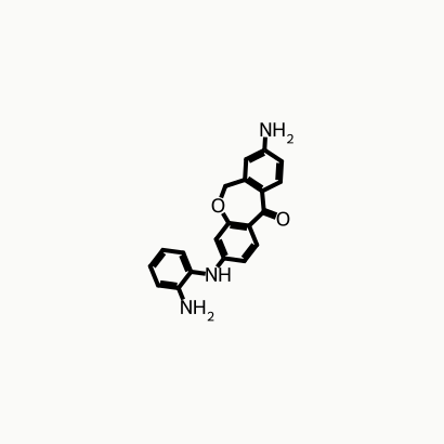 Nc1ccc2c(c1)COc1cc(Nc3ccccc3N)ccc1C2=O